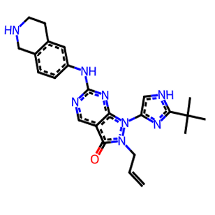 C=CCn1c(=O)c2cnc(Nc3ccc4c(c3)CCNC4)nc2n1-c1c[nH]c(C(C)(C)C)n1